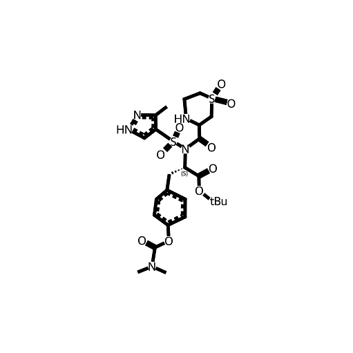 Cc1n[nH]cc1S(=O)(=O)N(C(=O)C1CS(=O)(=O)CCN1)[C@@H](Cc1ccc(OC(=O)N(C)C)cc1)C(=O)OC(C)(C)C